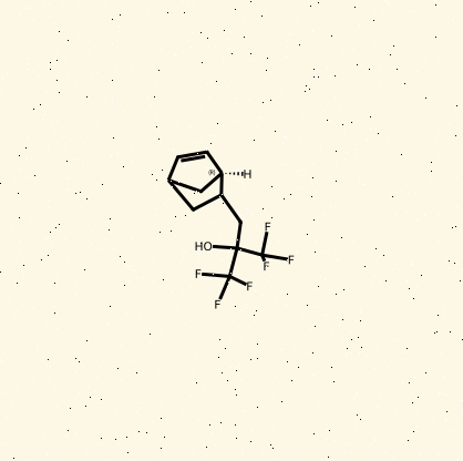 OC(CC1CC2C=C[C@@H]1C2)(C(F)(F)F)C(F)(F)F